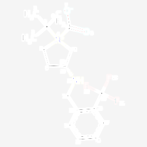 CC(C)(C)[N+]1(C(=O)[O-])CC[C@@H](NCc2ccccc2C(F)(F)F)C1